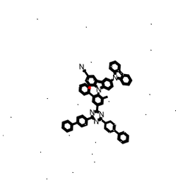 Cc1cc(-c2nc(-c3ccc(-c4ccccc4)cc3)nc(C3C=CC(c4ccccc4)=CC3)n2)cc(-c2ccccc2)c1-n1c2ccc(C#N)cc2c2cc(-n3c4ccccc4c4ccccc43)ccc21